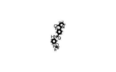 O=C(Nc1cccc(OC(F)(F)F)c1)c1ccc(-c2ncccc2Cl)c(F)c1